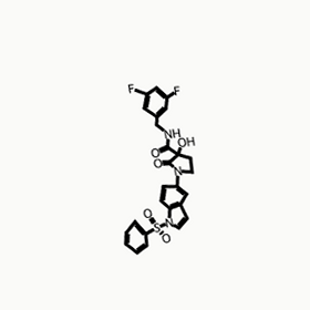 O=C(NCc1cc(F)cc(F)c1)C1(O)CCN(c2ccc3c(ccn3S(=O)(=O)c3ccccc3)c2)C1=O